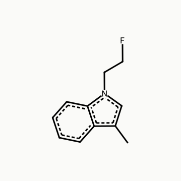 Cc1cn(CCF)c2ccccc12